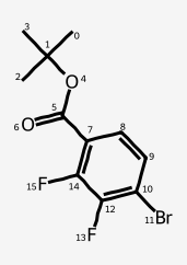 CC(C)(C)OC(=O)c1ccc(Br)c(F)c1F